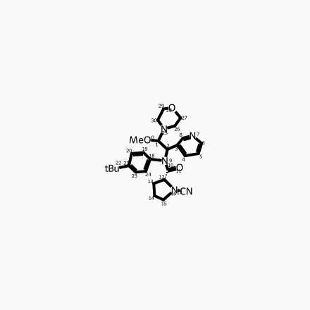 COC(C(c1cccnc1)N(C(=O)[C@H]1CCCN1C#N)c1ccc(C(C)(C)C)cc1)N1CCOCC1